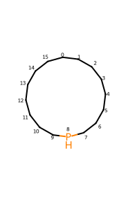 C1CCCCCCCPCCCCCCC1